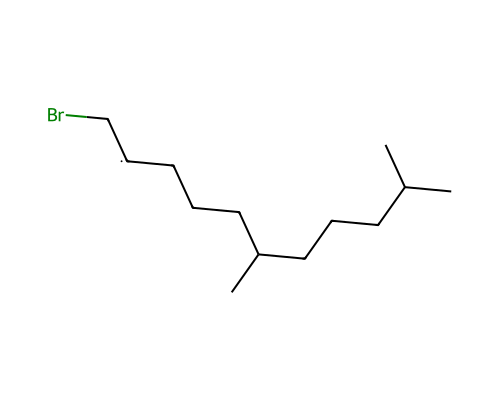 CC(C)CCCC(C)CCC[CH]CBr